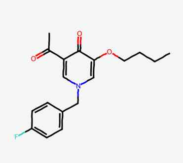 CCCCOc1cn(Cc2ccc(F)cc2)cc(C(C)=O)c1=O